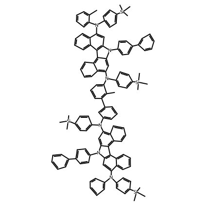 Cc1ccccc1N(c1ccc([Si](C)(C)C)cc1)c1cc2c(c3ccccc13)c1c3ccccc3c(N(c3ccc([Si](C)(C)C)cc3)c3cccc(-c4cccc(N(c5ccc([Si](C)(C)C)cc5)c5cc6c(c7ccccc57)c5c7ccccc7c(N(c7ccccc7)c7ccc([Si](C)(C)C)cc7)cc5n6-c5ccc(-c6ccccc6)cc5)c4)c3C)cc1n2-c1ccc(-c2ccccc2)cc1